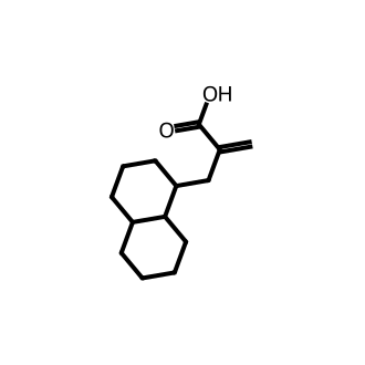 C=C(CC1CCCC2CCCCC21)C(=O)O